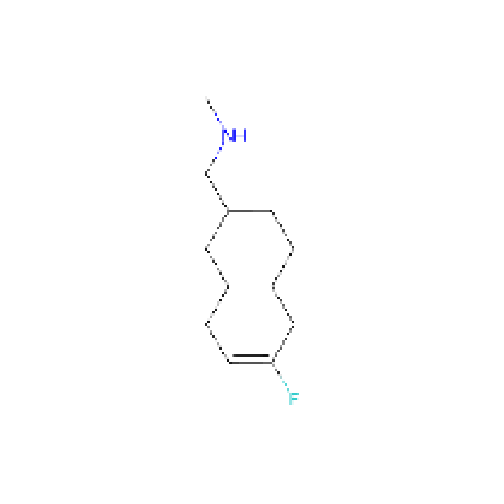 CNCC1CCC2CC(F)=CCC2C1